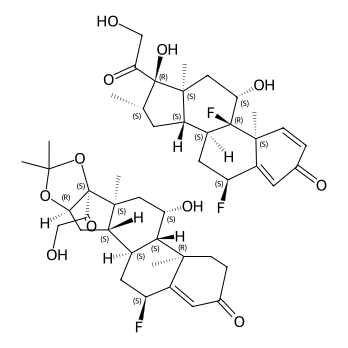 CC1(C)O[C@@H]2C[C@H]3[C@@H]4C[C@H](F)C5=CC(=O)CC[C@]5(C)[C@H]4[C@@H](O)C[C@]3(C)[C@]2(C(=O)CO)O1.C[C@H]1C[C@H]2[C@@H]3C[C@H](F)C4=CC(=O)C=C[C@]4(C)[C@@]3(F)[C@@H](O)C[C@]2(C)[C@@]1(O)C(=O)CO